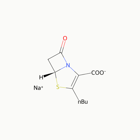 CCCCC1=C(C(=O)[O-])N2C(=O)C[C@H]2S1.[Na+]